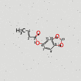 C/C=C/C(=O)Oc1ccc2c(c1)OCO2